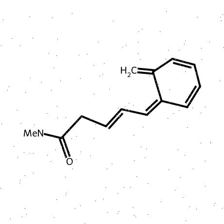 C=c1cccc/c1=C/C=C/CC(=O)NC